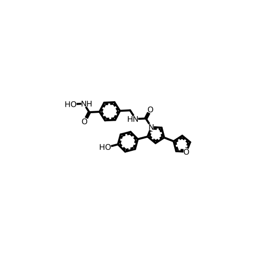 O=C(NO)c1ccc(CNC(=O)n2cc(-c3ccoc3)cc2-c2ccc(O)cc2)cc1